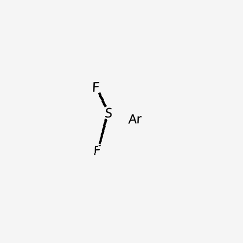 FSF.[Ar]